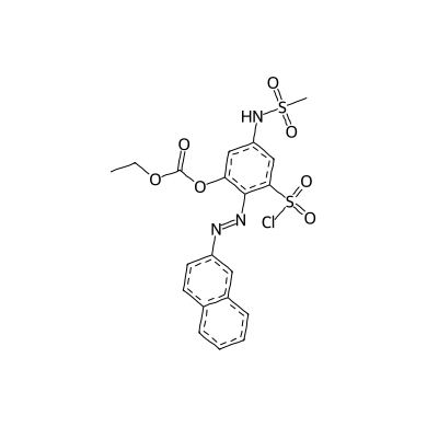 CCOC(=O)Oc1cc(NS(C)(=O)=O)cc(S(=O)(=O)Cl)c1N=Nc1ccc2ccccc2c1